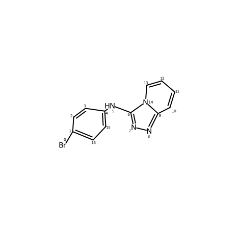 Brc1ccc(Nc2nnc3ccccn23)cc1